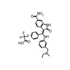 CCN(C)Cc1cccc(N/C(=C2\C(=O)Nc3cc(C(N)=O)ccc32)c2ccccc2)c1.O=C(O)C(F)(F)F